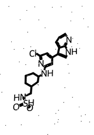 O=[SH](=O)NCC1CCCC(Nc2cc(-c3c[nH]c4ncccc34)cc(Cl)n2)C1